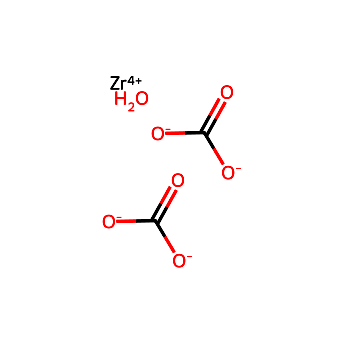 O.O=C([O-])[O-].O=C([O-])[O-].[Zr+4]